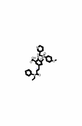 CCN(C(=O)/C=C/c1cc(C)c(NC(c2cccnc2)S(=O)(=O)c2ccc(OC)cc2)c(C(=O)O)c1)c1ccccc1